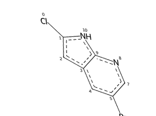 Clc1cc2cc(Br)cnc2[nH]1